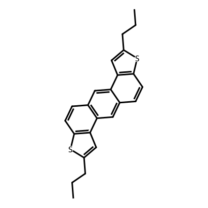 CCCc1cc2c(ccc3cc4c(ccc5sc(CCC)cc54)cc32)s1